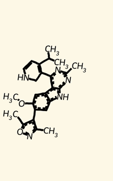 COc1cc2c(cc1-c1c(C)noc1C)[nH]c1nc(C)nc(C3=C(C(C)C)C=CNC3)c12